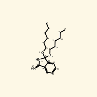 CCCCCCOC1(OCCCCCC)NC(=N)c2ccccc21